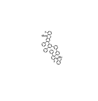 CC(C)(C)N(c1ccccc1F)c1cc(-c2ccccc2)c(-c2cc(-c3ccccc3)cc(-c3cccc(-c4cccc(-c5c(-c6ccccc6)ccc(F)c5N(c5ccccc5F)C(C)(C)C)c4)c3)c2)cc1F